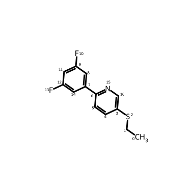 CCSc1ccc(-c2cc(F)cc(F)c2)nc1